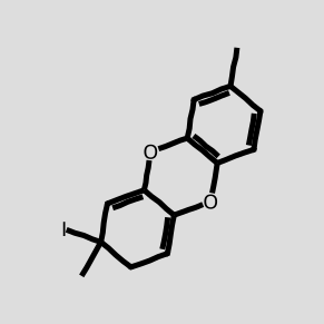 Cc1ccc2c(c1)OC1=CC(C)(I)CC=C1O2